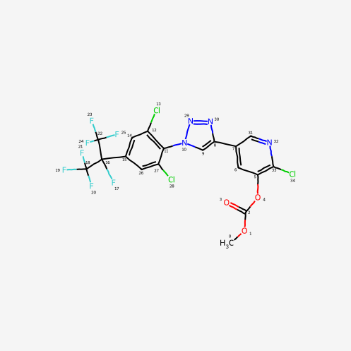 COC(=O)Oc1cc(-c2cn(-c3c(Cl)cc(C(F)(C(F)(F)F)C(F)(F)F)cc3Cl)nn2)cnc1Cl